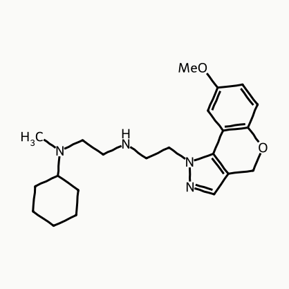 COc1ccc2c(c1)-c1c(cnn1CCNCCN(C)C1CCCCC1)CO2